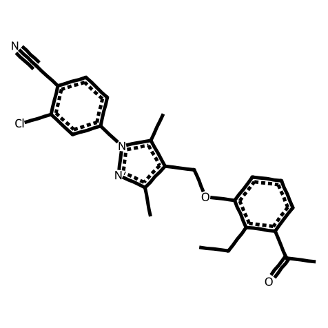 CCc1c(OCc2c(C)nn(-c3ccc(C#N)c(Cl)c3)c2C)cccc1C(C)=O